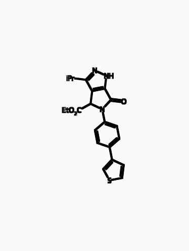 CCOC(=O)C1c2c(C(C)C)n[nH]c2C(=O)N1c1ccc(-c2ccsc2)cc1